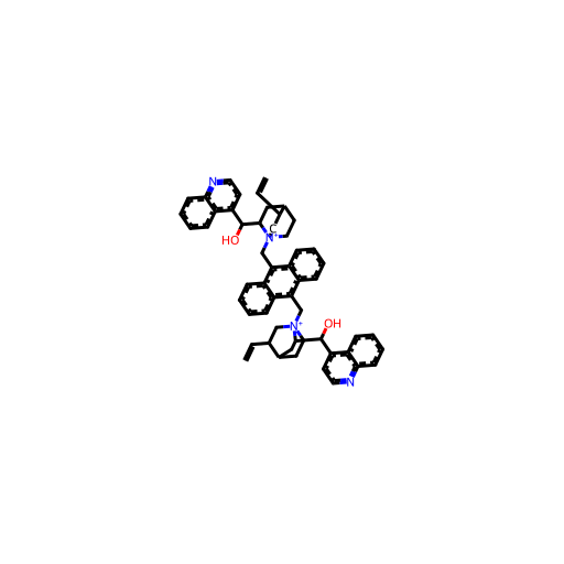 C=CC1C[N+]2(Cc3c4ccccc4c(C[N+]45CCC(CC4C(O)c4ccnc6ccccc46)C(C=C)C5)c4ccccc34)CCC1CC2C(O)c1ccnc2ccccc12